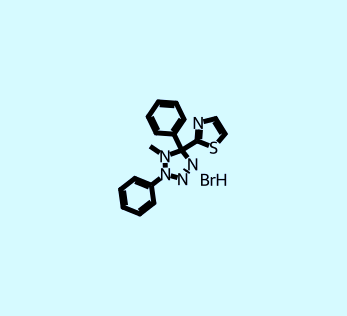 Br.CN1N(c2ccccc2)N=NC1(c1ccccc1)c1nccs1